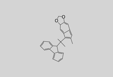 CC1=C(C(C)(C)C2c3ccccc3-c3ccccc32)C2=CC3OCOC3=CC2=C1